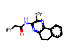 CCCc1nc2c(nc1NC(=O)CC(C)C)CCc1ccccc1-2